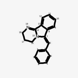 C(c1ccccc1)=c1c2ccccc2c2n1CCCN=2